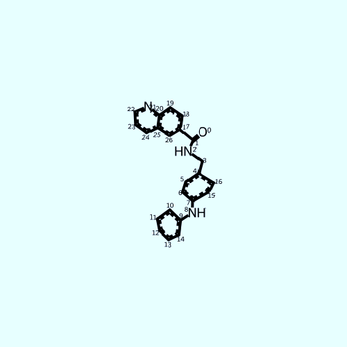 O=C(NCc1ccc(Nc2ccccc2)cc1)c1ccc2ncccc2c1